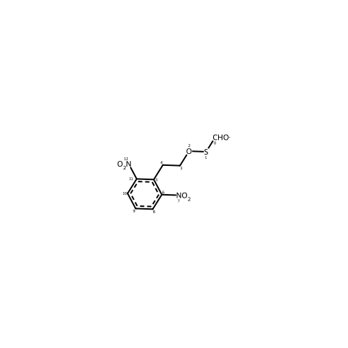 O=[C]SOCCc1c([N+](=O)[O-])cccc1[N+](=O)[O-]